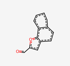 O=Cc1cc2ccc3ccccc3c2o1